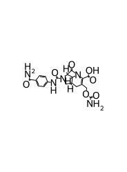 NC(=O)OCC1=C(C(=O)O)N2C(=O)[C@@H]3[C@H]2[C@H](C1)CN3C(=O)Nc1ccc(C(N)=O)cc1